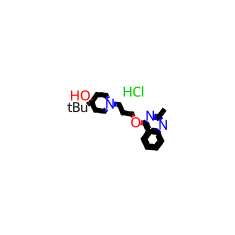 Cc1nc(OCCCN2CCC(O)(C(C)(C)C)CC2)c2ccccc2n1.Cl